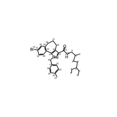 CCC(CC)CCC(C)CNC(=O)c1nn(Cc2ccc(C)cc2)c2c1CCCc1cc(Br)ccc1-2